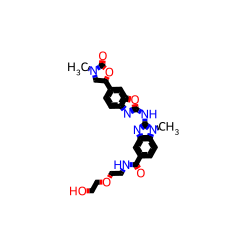 CN1CC(c2ccc3nc(Nc4nc5cc(C(=O)NCCOCCO)ccc5n4C)oc3c2)OC1=O